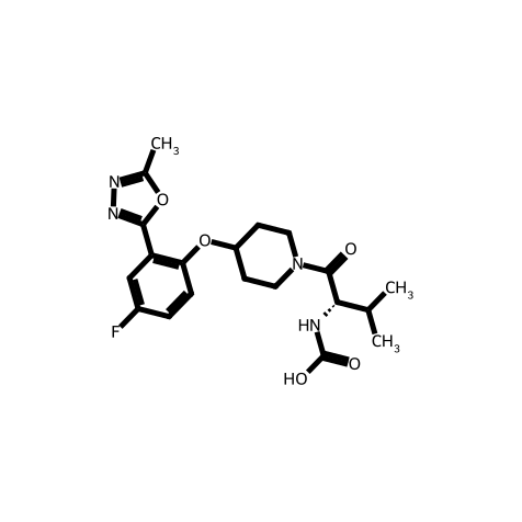 Cc1nnc(-c2cc(F)ccc2OC2CCN(C(=O)[C@@H](NC(=O)O)C(C)C)CC2)o1